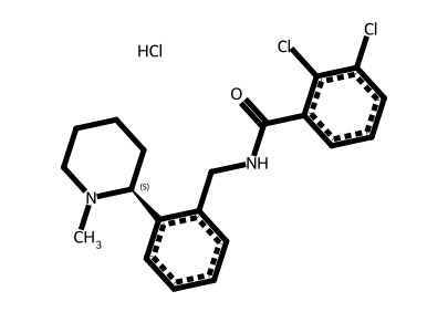 CN1CCCC[C@H]1c1ccccc1CNC(=O)c1cccc(Cl)c1Cl.Cl